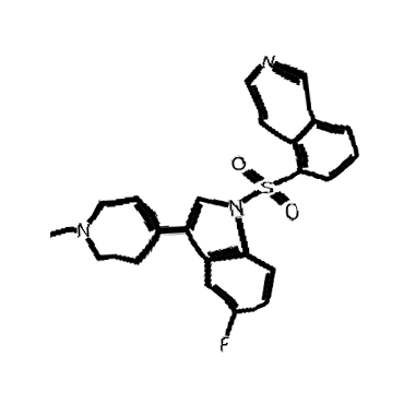 CN1CC=C(c2cn(S(=O)(=O)c3cccc4cnccc34)c3ccc(F)cc23)CC1